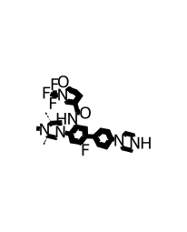 C[C@@H]1CN(c2cc(F)c(-c3ccc(N4CCNCC4)cc3)cc2NC(=O)c2ccc(=O)n(C(F)(F)F)c2)C[C@H](C)N1C